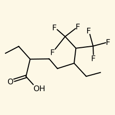 CCC(CCC(CC)C(C(F)(F)F)C(F)(F)F)C(=O)O